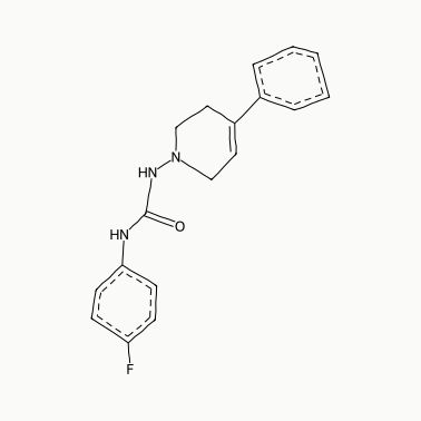 O=C(Nc1ccc(F)cc1)NN1CC=C(c2ccccc2)CC1